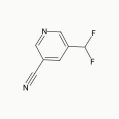 N#Cc1cncc(C(F)F)c1